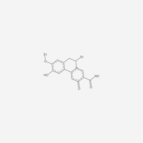 CCOc1cc2c(cc1O)-c1cc(=O)c(C(=O)N=O)cn1C(CC)C2